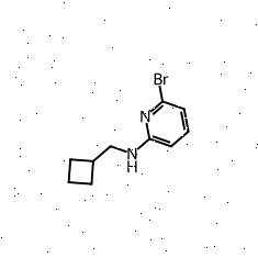 Brc1cccc(NCC2CCC2)n1